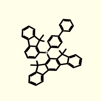 CC1(C)c2ccccc2-c2cccc(N(c3ccc(-c4ccccc4)cc3)c3c4c(cc5c3C(C)(C)c3ccccc3-5)-c3ccccc3C4(C)C)c21